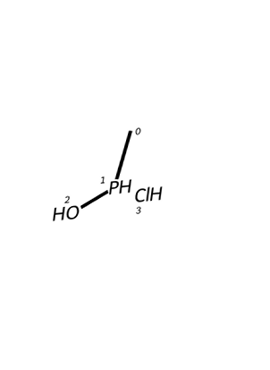 CPO.Cl